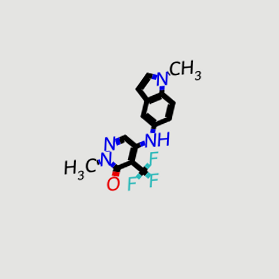 Cn1ncc(Nc2ccc3c(ccn3C)c2)c(C(F)(F)F)c1=O